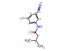 CC(C)CC(=O)Nc1cc(F)cc(C#N)c1